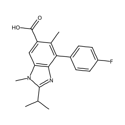 Cc1c(C(=O)O)cc2c(nc(C(C)C)n2C)c1-c1ccc(F)cc1